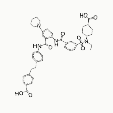 CCN([C@H]1CC[C@@H](C(=O)O)CC1)S(=O)(=O)c1cccc(C(=O)Nc2ccc(N3CCCCC3)cc2C(=O)Nc2ccc(CCc3ccc(C(=O)O)cc3)cc2)c1